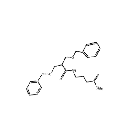 COC(=O)CCCNC(=O)C(COCc1ccccc1)COCc1ccccc1